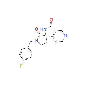 O=C1NC2(CCN(Cc3ccc(F)cc3)C2=O)c2ccncc21